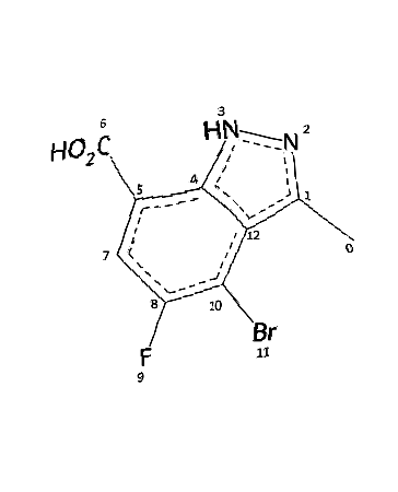 Cc1n[nH]c2c(C(=O)O)cc(F)c(Br)c12